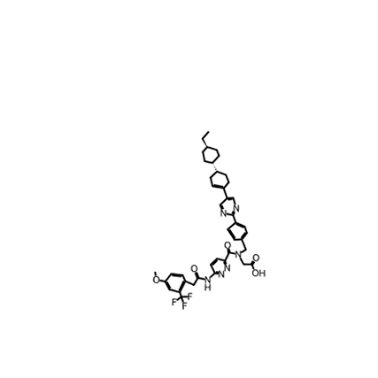 CC[C@H]1CC[C@H](C2CC=C(c3cnc(-c4ccc(CN(CC(=O)O)C(=O)c5ccc(NC(=O)Cc6ccc(OC)cc6C(F)(F)F)nn5)cc4)nc3)CC2)CC1